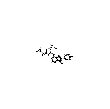 CCn1c(-c2cnc(C)nc2)nc2c(OC3CN(C(=O)C4CC4)CC3C(F)F)ncnc21